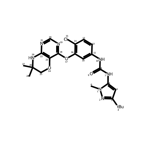 Cn1nc(C(C)(C)C)cc1NC(=O)Nc1ccc(Cl)c(Oc2ncnc3c2OCC(C)(C)N3)c1